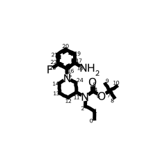 CCCN(C(=O)OC(C)(C)C)C1CCCN(c2c(N)cccc2F)C1